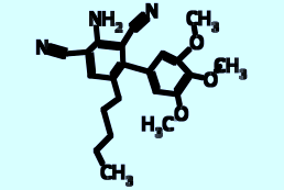 CCCCCc1cc(C#N)c(N)c(C#N)c1-c1cc(OC)c(OC)c(OC)c1